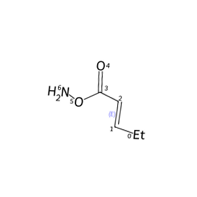 CC/C=C/C(=O)ON